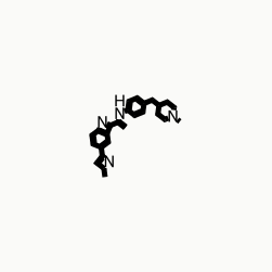 C=C(Nc1ccc(CC2CCN(C)CC2)cc1)C1=Nc2ccc(C3=CC(C)=N3)cc21